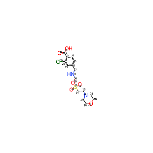 O=C(O)c1ccc(CNCOS(=O)(=O)CCN2CCOCC2)cc1Cl